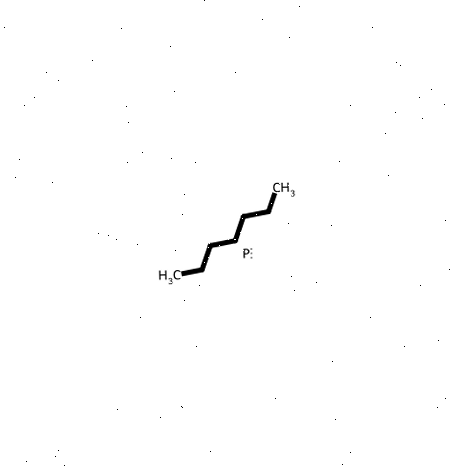 CCCCCCC.[P]